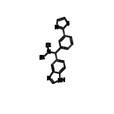 CCN(CC)C(c1cccc(-c2nccs2)c1)c1ccc2[nH]cnc2c1